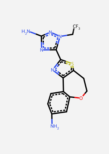 Nc1ccc2c(c1)OCCc1sc(-c3nc(N)nn3CC(F)(F)F)nc1-2